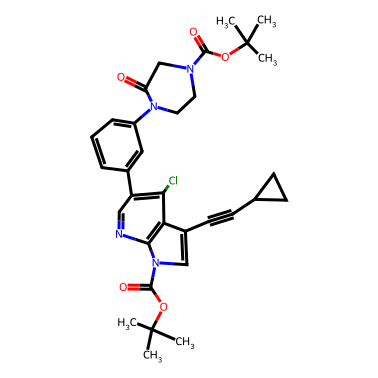 CC(C)(C)OC(=O)N1CCN(c2cccc(-c3cnc4c(c(C#CC5CC5)cn4C(=O)OC(C)(C)C)c3Cl)c2)C(=O)C1